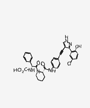 O=C(O)N[C@@H](C(=O)N1CCCC[C@H]1C(=O)Nc1ccc(C#Cc2c[nH]nc2-c2cc(Cl)ccc2O)cc1)c1ccccc1